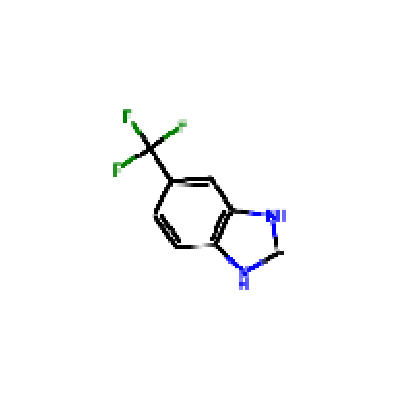 FC(F)(F)c1ccc2c(c1)N[CH]N2